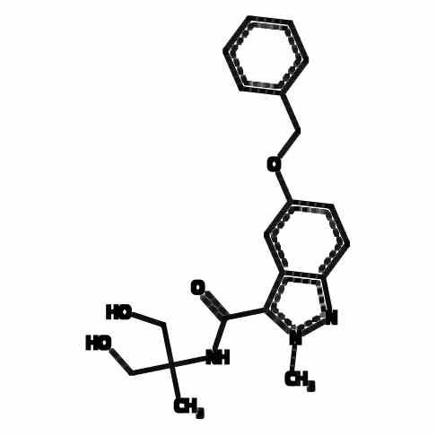 Cn1nc2ccc(OCc3ccccc3)cc2c1C(=O)NC(C)(CO)CO